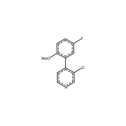 COc1ccc(F)cc1-c1ccncc1Cl